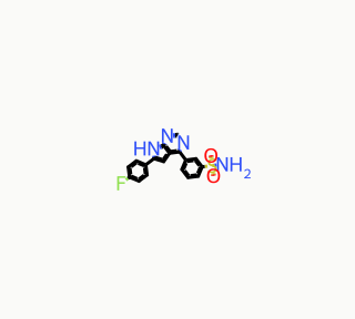 NS(=O)(=O)c1cccc(-c2ncnc3[nH]c(-c4ccc(F)cc4)cc23)c1